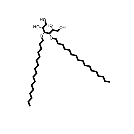 CCCCCCCCCCCCCCCCCO[C@@H]([C@H](OCCCCCCCCCCCCCCCCC)[C@H](O)CO)[C@H](O)CO